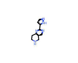 c1cc(-c2ncc3c(n2)CCNC3)[nH]n1